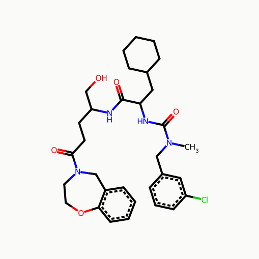 CN(Cc1cccc(Cl)c1)C(=O)NC(CC1CCCCC1)C(=O)NC(CO)CCC(=O)N1CCOc2ccccc2C1